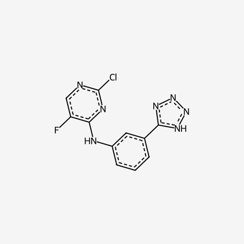 Fc1cnc(Cl)nc1Nc1cccc(-c2nnn[nH]2)c1